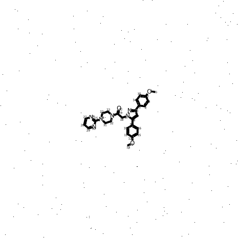 COc1ccc(-c2cc(-c3ccc(OC)cc3)n(CC(=O)N3CCN(c4ncccn4)CC3)n2)cc1